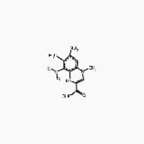 CCN(CC)c1c(C)c([N+](=O)[O-])cc2c1NC(C(=O)C=O)=CN2C